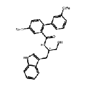 COc1cccc(-c2ccc(OC)cc2C(=O)N[C@@H](CO)Cc2c[nH]c3ccccc23)c1